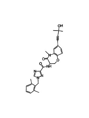 Cc1cccc(C)c1Cn1cnc(C(=O)NC2COc3ccc(C#CC(C)(C)O)cc3N(C)C2=O)n1